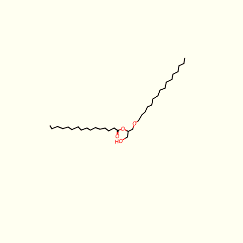 CCCCCCCCCCCCCCCCOCC(CO)OC(=O)CCCCCCCCCCCCCCC